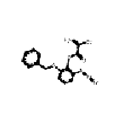 C=C(CC)C(=O)Oc1c(N=[N+]=[N-])cccc1OCc1ccccc1